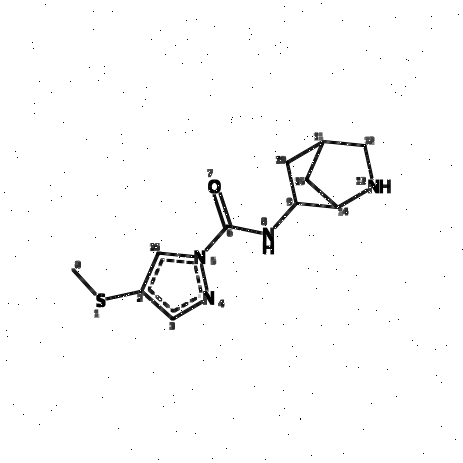 CSc1cnn(C(=O)NC2CC3CNC2C3)c1